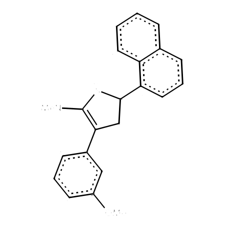 CNC1=C(c2cccc(OC)c2)CC(c2cccc3ccccc23)S1